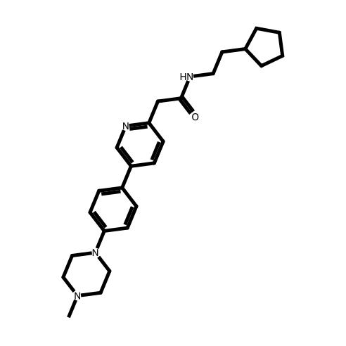 CN1CCN(c2ccc(-c3ccc(CC(=O)NCCC4CCCC4)nc3)cc2)CC1